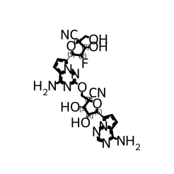 N#C[C@]1(COc2nc(N)c3ccc([C@@H]4O[C@](C#N)(CO)[C@@H](O)[C@H]4F)n3n2)O[C@@H](c2ccc3c(N)ncnn23)[C@H](O)[C@@H]1O